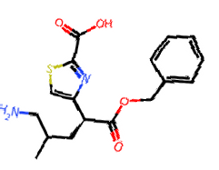 CC(CN)C[C@H](C(=O)OCc1ccccc1)c1csc(C(=O)O)n1